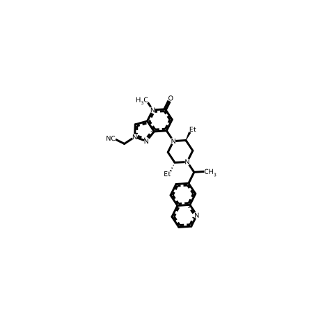 CC[C@H]1CN(C(C)c2ccc3cccnc3c2)[C@H](CC)CN1c1cc(=O)n(C)c2cn(CC#N)nc12